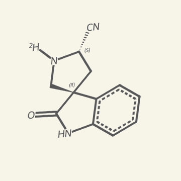 [2H]N1C[C@]2(C[C@H]1C#N)C(=O)Nc1ccccc12